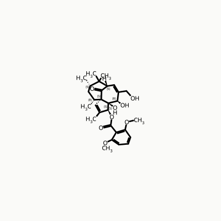 COc1cccc(OC)c1C(=O)O[C@H]1C(C)=C[C@]23C(=O)[C@@H](C=C(CO)[C@@H](O)[C@]12O)C(C)(C)[C@@H](C)C[C@H]3C